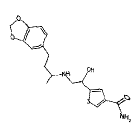 CC(CCc1ccc2c(c1)OCO2)NCC(O)c1cc(C(N)=O)cs1